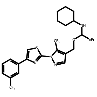 CCCC(NC1CCCCC1)OCc1cnn(-c2nc(-c3cccc(C(F)(F)F)c3)cs2)c1C(F)(F)F